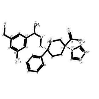 C[C@@H](OC[C@@]1(c2ccccc2)CC[C@@](C(N)=O)(n2cnnc2)CN1)c1cc(CF)cc(C(F)(F)F)c1